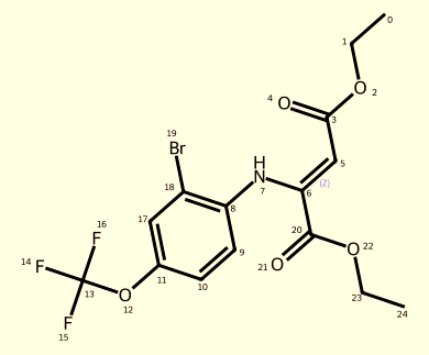 CCOC(=O)/C=C(\Nc1ccc(OC(F)(F)F)cc1Br)C(=O)OCC